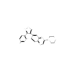 Cc1ccc(-c2n[nH]cc2-c2ccc3ncc(N4CCOCC4)nc3c2)cc1